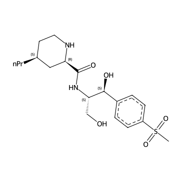 CCC[C@H]1CCN[C@@H](C(=O)N[C@@H](CO)[C@@H](O)c2ccc(S(C)(=O)=O)cc2)C1